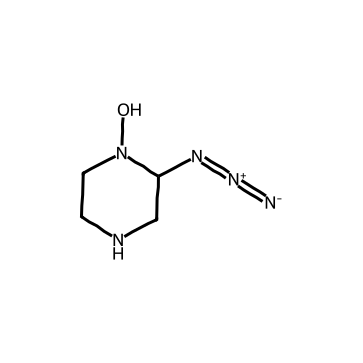 [N-]=[N+]=NC1CNCCN1O